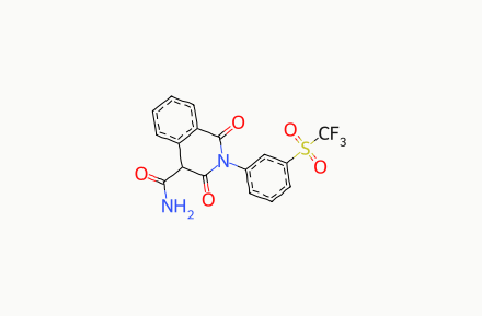 NC(=O)C1C(=O)N(c2cccc(S(=O)(=O)C(F)(F)F)c2)C(=O)c2ccccc21